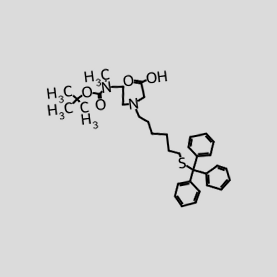 CN(CCN(CCCCCCSC(c1ccccc1)(c1ccccc1)c1ccccc1)CC(=O)O)C(=O)OC(C)(C)C